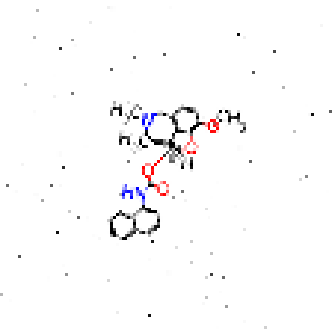 COc1ccc2c3c1O[C@H]1C[C@@H](OC(=O)Nc4cccc5ccccc45)C(C)[C@@]31CCN(C)C2